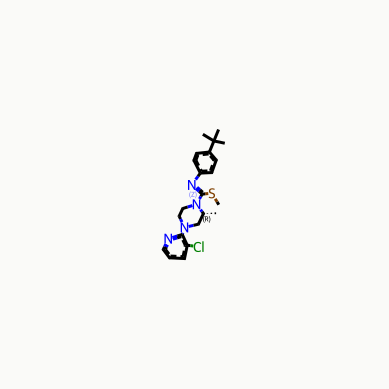 CS/C(=N\c1ccc(C(C)(C)C)cc1)N1CCN(c2ncccc2Cl)C[C@H]1C